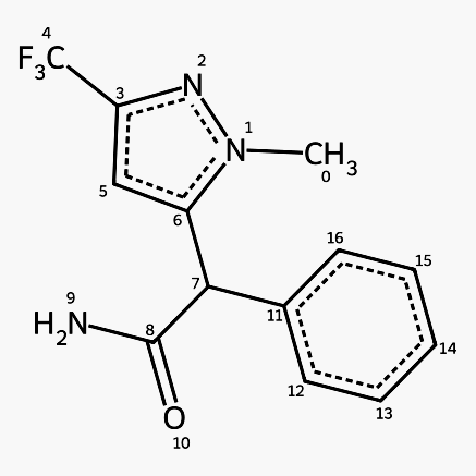 Cn1nc(C(F)(F)F)cc1C(C(N)=O)c1ccccc1